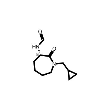 O=CN[C@H]1CCCCN(CC2CC2)C1=O